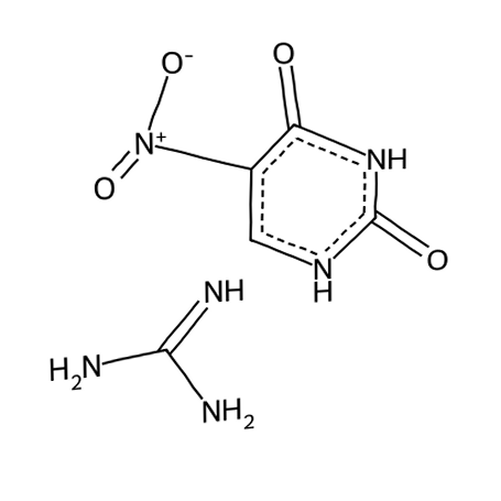 N=C(N)N.O=c1[nH]cc([N+](=O)[O-])c(=O)[nH]1